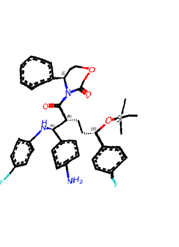 C[Si](C)(C)O[C@@H](CC[C@@H](C(=O)N1C(=O)OC[C@@H]1c1ccccc1)[C@H](Nc1ccc(F)cc1)c1ccc(N)cc1)c1ccc(F)cc1